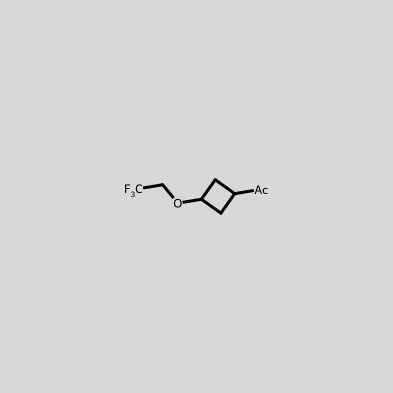 CC(=O)C1CC(OCC(F)(F)F)C1